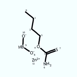 CCCCOC(N)=S.[O-]B[O-].[Zn+2]